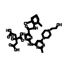 Cc1nc(Nc2ncc(C(=O)Nc3c(C)cccc3Cl)s2)cc(N2CCN(CCO)CC2)n1.O=C(O)CC(O)(CC(=O)O)C(=O)O